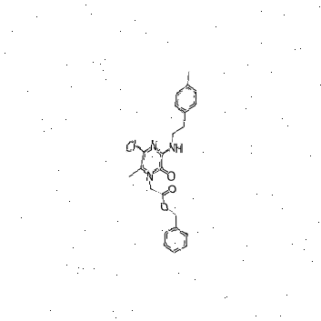 Cc1ccc(CCNc2nc(Cl)c(C)n(CC(=O)OCc3ccccc3)c2=O)cc1